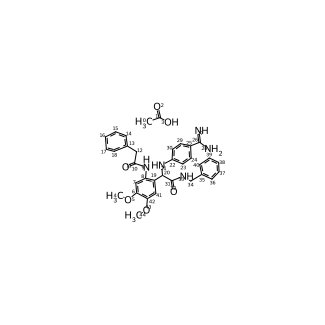 CC(=O)O.COc1cc(NC(=O)Cc2ccccc2)c(C(Nc2ccc(C(=N)N)cc2)C(=O)NCc2ccccc2)cc1OC